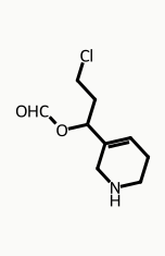 O=COC(CCCl)C1=CCCNC1